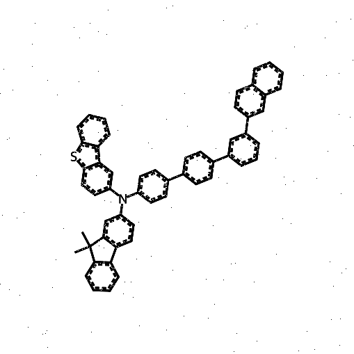 CC1(C)c2ccccc2-c2ccc(N(c3ccc(-c4ccc(-c5cccc(-c6ccc7ccccc7c6)c5)cc4)cc3)c3ccc4sc5ccccc5c4c3)cc21